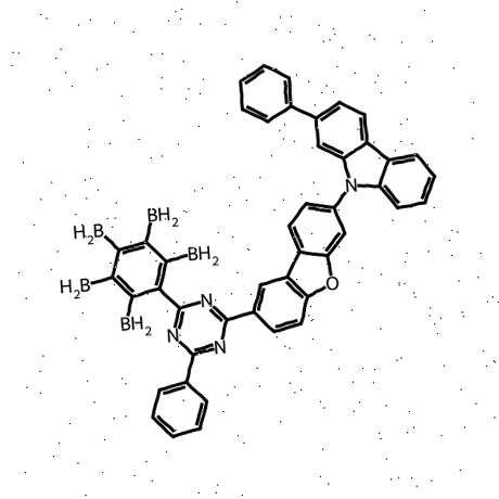 Bc1c(B)c(B)c(-c2nc(-c3ccccc3)nc(-c3ccc4oc5cc(-n6c7ccccc7c7ccc(-c8ccccc8)cc76)ccc5c4c3)n2)c(B)c1B